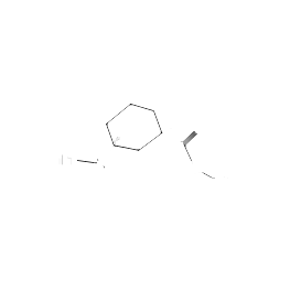 CC(C)N[C@@H]1CCC[C@H](C(=O)OC(C)C)C1